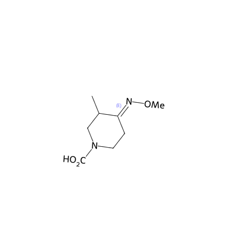 CO/N=C1\CCN(C(=O)O)CC1C